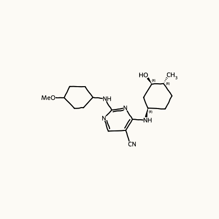 COC1CCC(Nc2ncc(C#N)c(N[C@@H]3CC[C@@H](C)[C@H](O)C3)n2)CC1